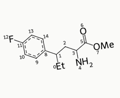 CCC(CC(N)C(=O)OC)c1ccc(F)cc1